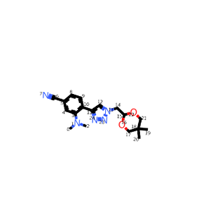 CN(C)c1cc(C#N)ccc1-c1cn(CC2OCC(C)(C)CO2)nn1